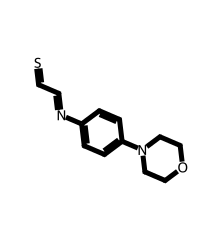 S=CC=Nc1ccc(N2CCOCC2)cc1